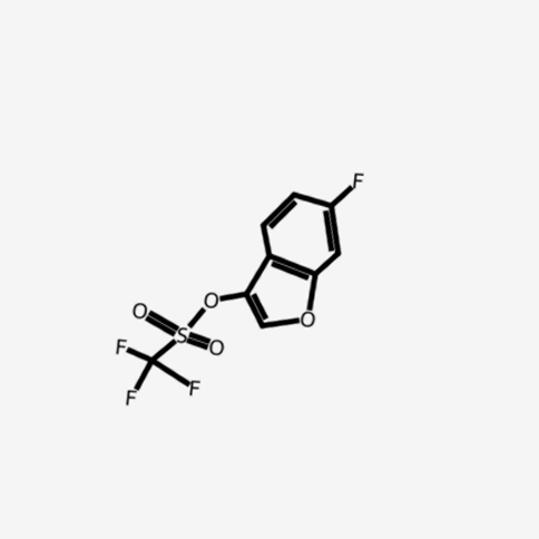 O=S(=O)(Oc1coc2cc(F)ccc12)C(F)(F)F